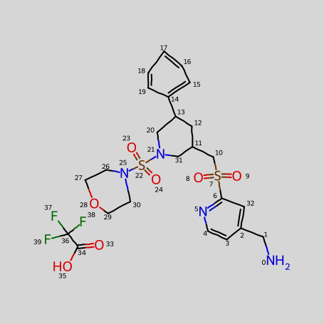 NCc1ccnc(S(=O)(=O)CC2CC(c3ccccc3)CN(S(=O)(=O)N3CCOCC3)C2)c1.O=C(O)C(F)(F)F